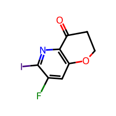 O=C1CCOc2cc(F)c(I)nc21